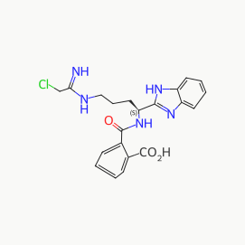 N=C(CCl)NCCC[C@H](NC(=O)c1ccccc1C(=O)O)c1nc2ccccc2[nH]1